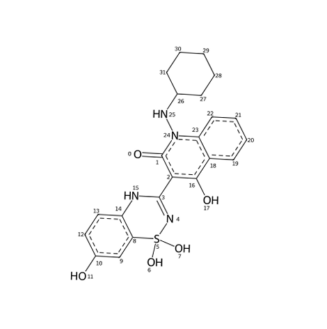 O=c1c(C2=NS(O)(O)c3cc(O)ccc3N2)c(O)c2ccccc2n1NC1CCCCC1